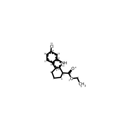 CCOC(=O)C1CCCc2c1[nH]c1cc(Cl)ccc21